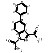 NC(=O)n1nc(C(=O)O)c2cc(-c3cccnc3)ccc21